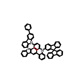 C1=C(c2ccccc2N(c2ccc(-n3c4ccccc4c4cc(-c5ccccc5)ccc43)cc2)c2ccc3c(c2)C2(c4ccccc4-c4ccccc42)c2ccccc2-3)CCc2sc3ccccc3c21